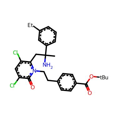 CCc1cccc(C(C)(N)Cc2c(Cl)cc(Cl)c(=O)n2CCc2ccc(C(=O)OC(C)(C)C)cc2)c1